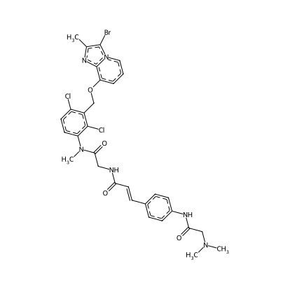 Cc1nc2c(OCc3c(Cl)ccc(N(C)C(=O)CNC(=O)C=Cc4ccc(NC(=O)CN(C)C)cc4)c3Cl)cccn2c1Br